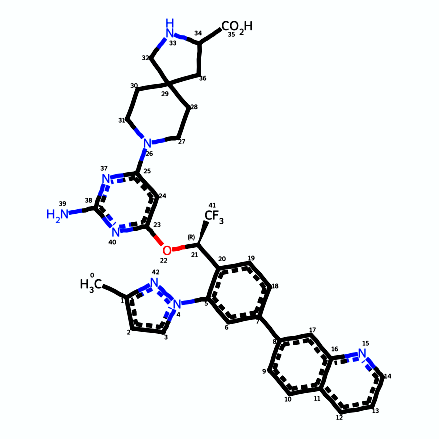 Cc1ccn(-c2cc(-c3ccc4cccnc4c3)ccc2[C@@H](Oc2cc(N3CCC4(CC3)CNC(C(=O)O)C4)nc(N)n2)C(F)(F)F)n1